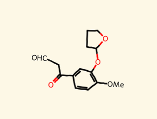 COc1ccc(C(=O)CC=O)cc1OC1CCCO1